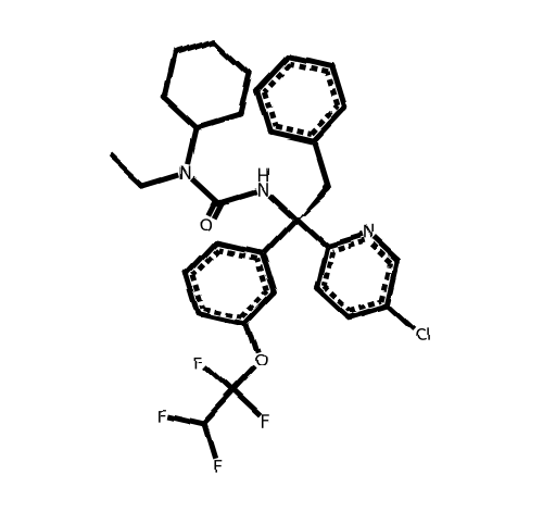 CCN(C(=O)N[C@@](Cc1ccccc1)(c1cccc(OC(F)(F)C(F)F)c1)c1ccc(Cl)cn1)C1CCCCC1